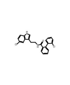 O=C(NCCc1c[nH]c2ccc(Cl)cc12)c1ccccc1-c1ccccc1Cl